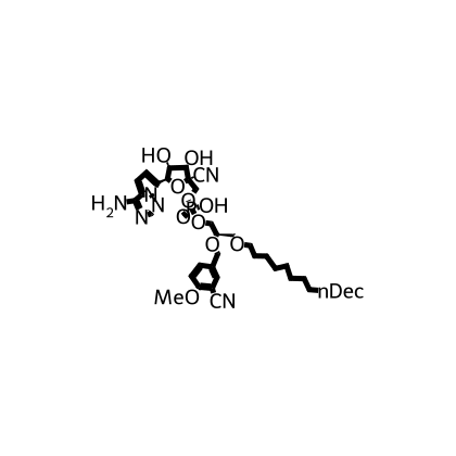 CCCCCCCCCCCCCCCCCCOC[C@H](COP(=O)(O)OC[C@@]1(C#N)O[C@@H](c2ccc3c(N)ncnn23)[C@H](O)[C@@H]1O)OCc1ccc(OC)c(C#N)c1